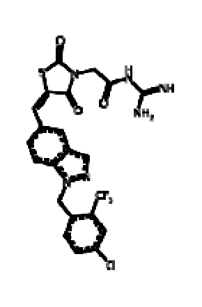 N=C(N)NC(=O)CN1C(=O)SC(=Cc2ccc3c(cnn3Cc3ccc(Cl)cc3C(F)(F)F)c2)C1=O